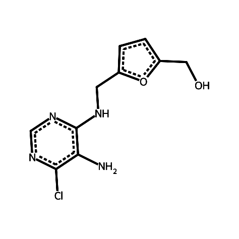 Nc1c(Cl)ncnc1NCc1ccc(CO)o1